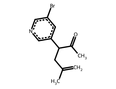 C=C(C)CC(C(C)=O)c1cncc(Br)c1